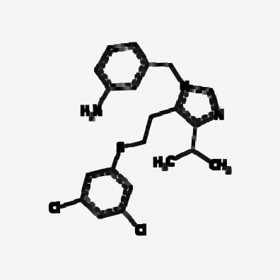 CC(C)c1ncn(Cc2cccc(N)c2)c1CCSc1cc(Cl)cc(Cl)c1